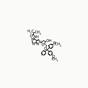 COc1ccc(C(OC[C@H]2O[C@H](n3cc4c(NC(=O)C(C)C)ncnc4n3)C[C@@H]2O)(c2ccccc2)c2ccc(OC)cc2)cc1